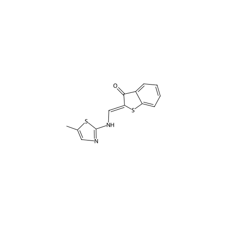 Cc1cnc(N/C=C2\Sc3ccccc3C2=O)s1